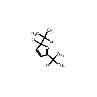 [Li][C]1(C(C)(C)CC)C=CC(C(C)(C)CC)=N1